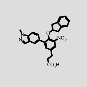 Cn1ncc2cc(-c3cc(CCC(=O)O)cc([N+](=O)[O-])c3OC3Cc4ccccc4C3)ccc21